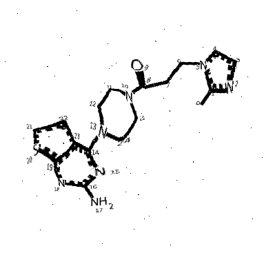 Cc1nccn1CCC(=O)N1CCN(c2nc(N)nc3sccc23)CC1